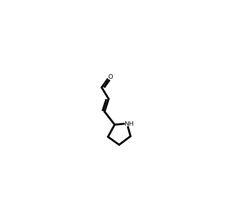 O=CC=CC1CCCN1